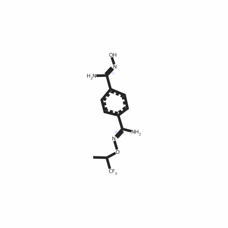 CC(O/N=C(\N)c1ccc(/C(N)=N/O)cc1)C(F)(F)F